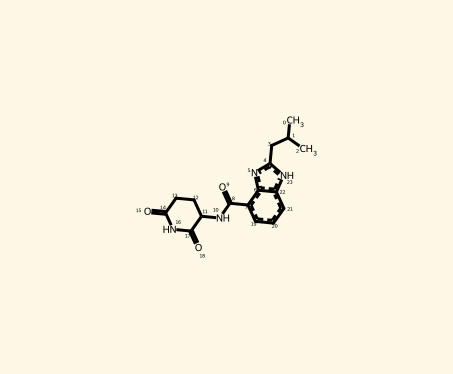 CC(C)Cc1nc2c(C(=O)NC3CCC(=O)NC3=O)cccc2[nH]1